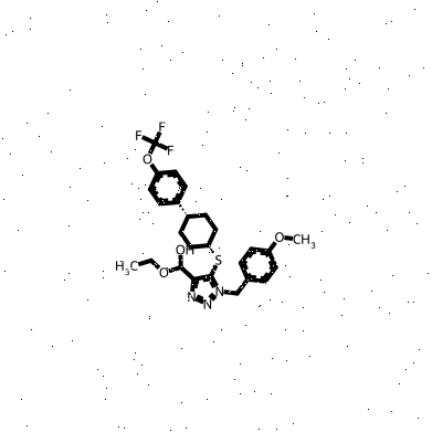 CCOC(O)c1nnn(Cc2ccc(OC)cc2)c1S[C@H]1CC[C@@H](c2ccc(OC(F)(F)F)cc2)CC1